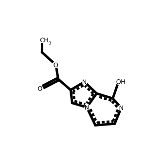 CCOC(=O)c1cn2ccnc(O)c2n1